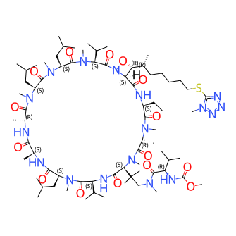 CC[C@@H]1NC(=O)[C@@H]2[C@@H]([C@H](C)CCCCCSc3nnnn3C)ON2C(=O)[C@H](C(C)C)N(C)C(=O)[C@H](CC(C)C)N(C)C(=O)[C@H](CC(C)C)N(C)C(=O)[C@@H](C)NC(=O)[C@H](C)NC(=O)[C@H](CC(C)C)N(C)C(=O)[C@H](C(C)C)NC(=O)[C@H](C(C)(C)CN(C)C(=O)[C@H](NC(=O)OC)C(C)C)N(C)C(=O)[C@@H](C)N(C)C1=O